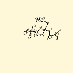 CP(C)OCC(CO)(CO)COP(C)(=O)Cl